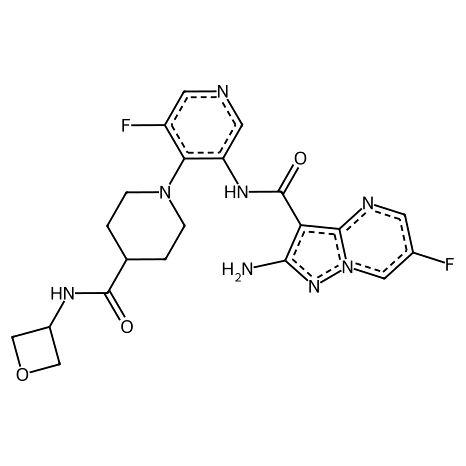 Nc1nn2cc(F)cnc2c1C(=O)Nc1cncc(F)c1N1CCC(C(=O)NC2COC2)CC1